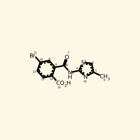 Cc1csc(NC(=O)c2cc(Br)ccc2C(=O)O)n1